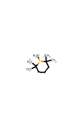 BP1C(C)(C)CCCC1(C)C